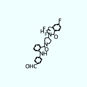 CN(C(=O)c1ccc(F)cc1C(F)(F)F)C1CCN(C(=O)c2ccccc2Nc2ccc(C=O)cc2)CC1